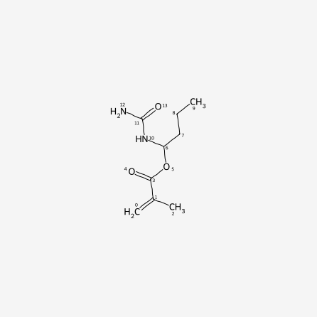 C=C(C)C(=O)OC(CCC)NC(N)=O